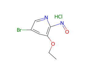 CCOc1cc(Br)cnc1N=O.Cl